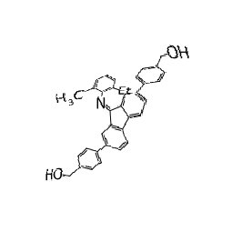 CCc1cccc(C)c1N=C1c2cc(-c3ccc(CO)cc3)ccc2-c2ccc(-c3ccc(CO)cc3)cc21